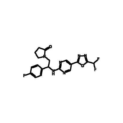 O=C1CCCN1CC(Nc1ncc(-c2nnc(C(F)F)o2)cn1)c1ccc(F)cc1